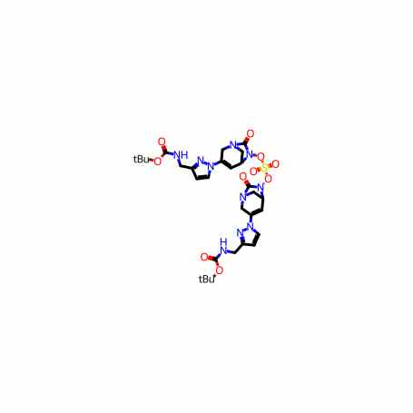 CC(C)(C)OC(=O)NCc1ccn(C2=CC3CN(C2)C(=O)N3OS(=O)(=O)ON2C(=O)N3CC(n4ccc(CNC(=O)OC(C)(C)C)n4)=CC2C3)n1